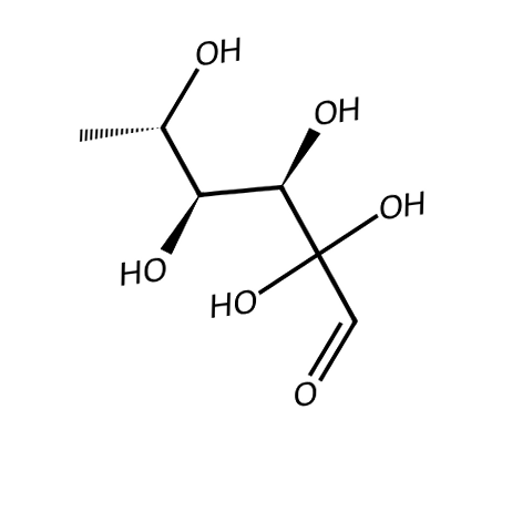 C[C@H](O)[C@H](O)[C@@H](O)C(O)(O)C=O